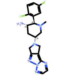 CN1C[C@H](N2Cc3nn4nccnc4c3C2)C[C@H](N)[C@H]1c1cc(F)ccc1F